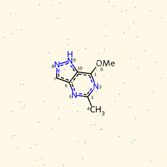 COc1nc(C)nc2cn[nH]c12